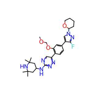 COCOc1cc(-c2cn(C3CCCCO3)nc2F)ccc1-c1cnc(NC2CC(C)(C)NC(C)(C)C2)nn1